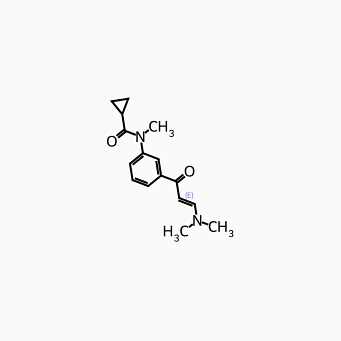 CN(C)/C=C/C(=O)c1cccc(N(C)C(=O)C2CC2)c1